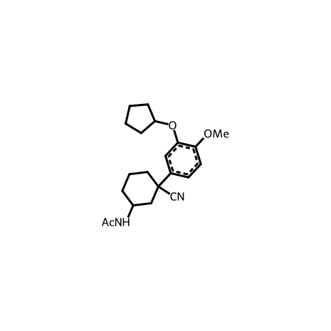 COc1ccc(C2(C#N)CCCC(NC(C)=O)C2)cc1OC1CCCC1